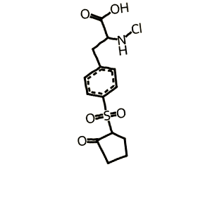 O=C(O)C(Cc1ccc(S(=O)(=O)C2CCCC2=O)cc1)NCl